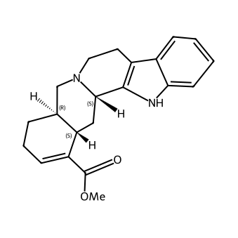 COC(=O)C1=CCC[C@H]2CN3CCc4c([nH]c5ccccc45)[C@@H]3C[C@H]12